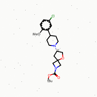 COc1ccc(Cl)cc1C1CCN([C@@H]2COC3(C2)CN(C(=O)OC(C)(C)C)C3)CC1